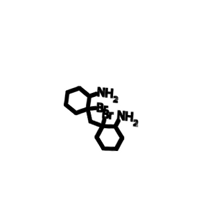 NC1CCCCC1(Br)CC1(Br)CCCCC1N